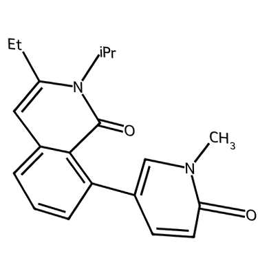 CCc1cc2cccc(-c3ccc(=O)n(C)c3)c2c(=O)n1C(C)C